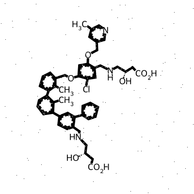 Cc1cncc(COc2cc(OCc3cccc(-c4cccc(-c5ccc(CNC[C@@H](O)CC(=O)O)c(-c6ccccc6)c5)c4C)c3C)c(Cl)cc2CNC[C@@H](O)CC(=O)O)c1